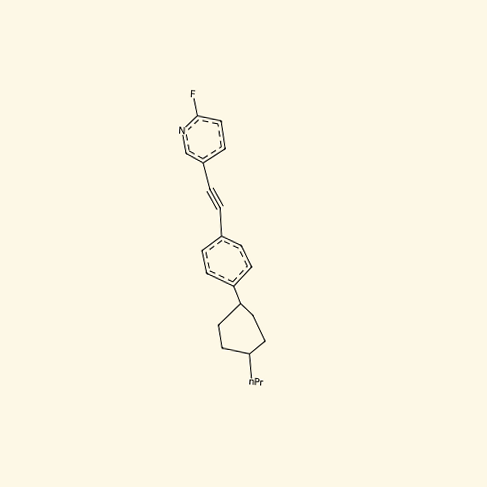 CCCC1CCC(c2ccc(C#Cc3ccc(F)nc3)cc2)CC1